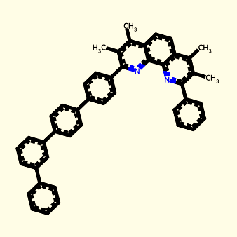 Cc1c(-c2ccccc2)nc2c(ccc3c(C)c(C)c(-c4ccc(-c5ccc(-c6cccc(-c7ccccc7)c6)cc5)cc4)nc32)c1C